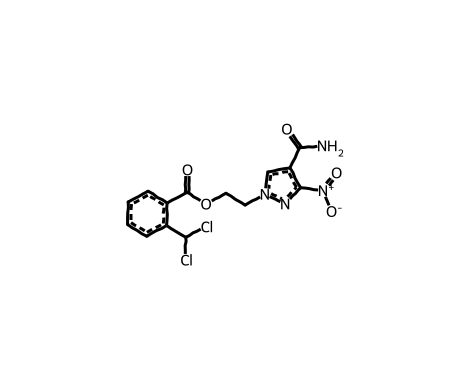 NC(=O)c1cn(CCOC(=O)c2ccccc2C(Cl)Cl)nc1[N+](=O)[O-]